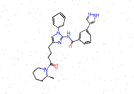 C[C@H]1CCCCN1C(=O)CCCc1cn(-c2ccccc2)c(NC(=O)c2cccc(-c3cn[nH]c3)c2)n1